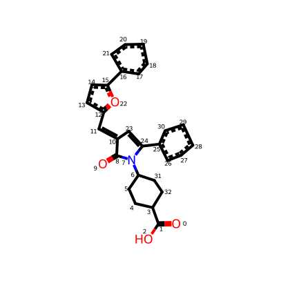 O=C(O)C1CCC(N2C(=O)/C(=C/c3ccc(-c4ccccc4)o3)C=C2c2ccccc2)CC1